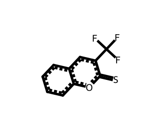 FC(F)(F)c1cc2ccccc2oc1=S